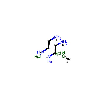 Cl.Cl.Cl.NCCN.NCCN.[Au]